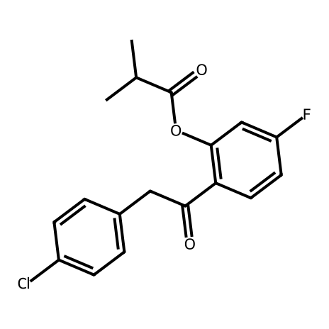 CC(C)C(=O)Oc1cc(F)ccc1C(=O)Cc1ccc(Cl)cc1